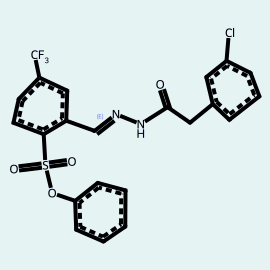 O=C(Cc1cccc(Cl)c1)N/N=C/c1cc(C(F)(F)F)ccc1S(=O)(=O)Oc1ccccc1